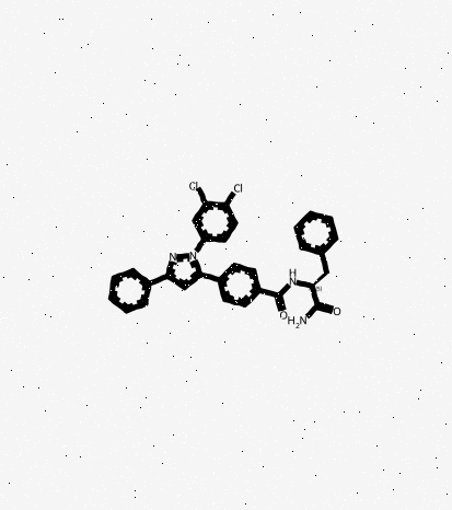 NC(=O)[C@H](Cc1ccccc1)NC(=O)c1ccc(-c2cc(-c3ccccc3)nn2-c2ccc(Cl)c(Cl)c2)cc1